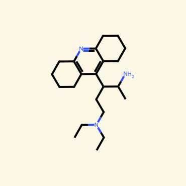 CCN(CC)CCC(c1c2c(nc3c1CCCC3)CCCC2)C(C)N